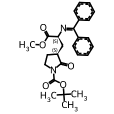 COC(=O)[C@H](C[C@@H]1CCN(C(=O)OC(C)(C)C)C1=O)N=C(c1ccccc1)c1ccccc1